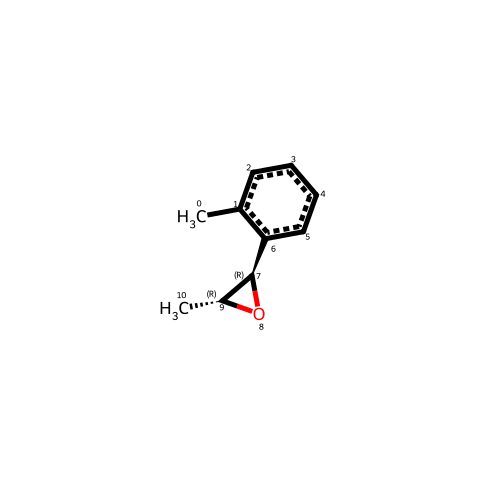 Cc1ccccc1[C@H]1O[C@@H]1C